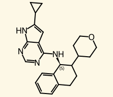 c1ccc2c(c1)CCC(C1CCOCC1)[C@@H]2Nc1ncnc2[nH]c(C3CC3)cc12